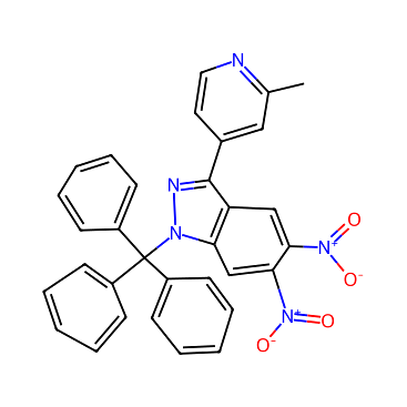 Cc1cc(-c2nn(C(c3ccccc3)(c3ccccc3)c3ccccc3)c3cc([N+](=O)[O-])c([N+](=O)[O-])cc23)ccn1